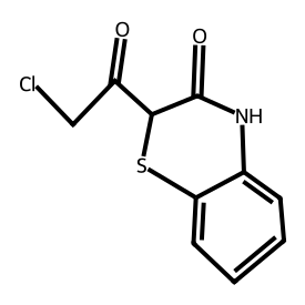 O=C(CCl)C1Sc2ccccc2NC1=O